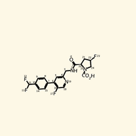 O=C(NCc1cc(-c2ccc(C(F)F)cc2)c(F)cn1)[C@H]1C[C@@H](F)CN1C(=O)O